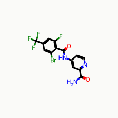 NC(=O)c1cc(NC(=O)c2c(F)cc(C(F)(F)F)cc2Br)ccn1